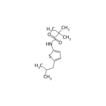 CC(C)Cc1ccc(NS(=O)(=O)C(C)(C)C)s1